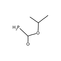 CC(C)OC([O])P